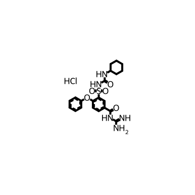 Cl.N=C(N)NC(=O)c1ccc(Oc2ccccc2)c(S(=O)(=O)NC(=O)NC2CCCCC2)c1